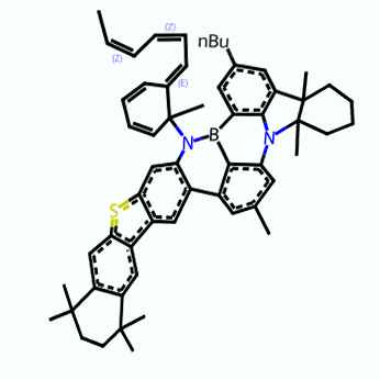 C\C=C/C=C\C=C1/C=CC=CC1(C)N1B2c3cc(CCCC)cc4c3N(c3cc(C)cc(c32)-c2cc3c(cc21)sc1cc2c(cc13)C(C)(C)CCC2(C)C)C1(C)CCCCC41C